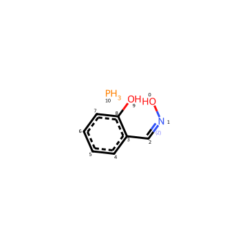 O/N=C\c1ccccc1O.P